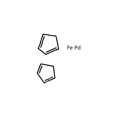 C1=CCC=C1.C1=CCC=C1.[Fe].[Pd]